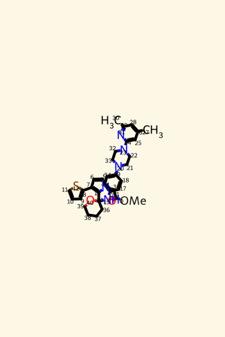 COC(=O)Cn1ccc(-c2cccs2)c1C1(Nc2ccc(N3CCN(c4cc(C)cc(C)n4)CC3)cc2)CCCCO1